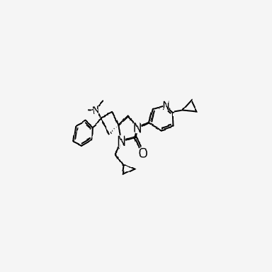 CN(C)[C@]1(c2ccccc2)C[C@@]2(CN(c3ccc(C4CC4)nc3)C(=O)N2CC2CC2)C1